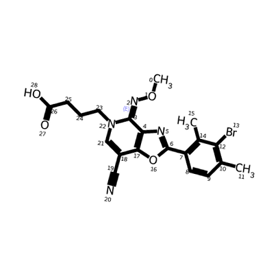 CO/N=c1\c2nc(-c3ccc(C)c(Br)c3C)oc2c(C#N)cn1CCCC(=O)O